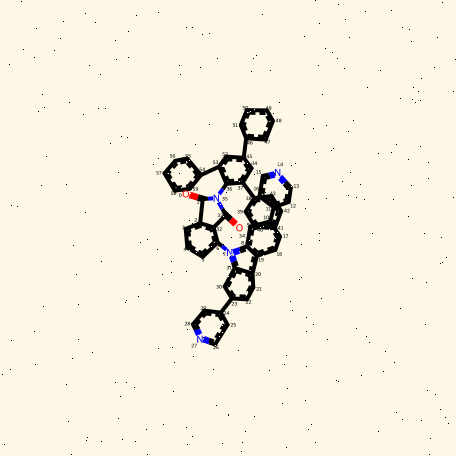 O=C1c2cccc(-n3c4cc(-c5ccncc5)ccc4c4ccc(-c5ccncc5)cc43)c2C(=O)N1c1c(-c2ccccc2)cc(-c2ccccc2)cc1-c1ccccc1